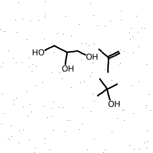 C=C(C)C.CC(C)(C)O.OCC(O)CO